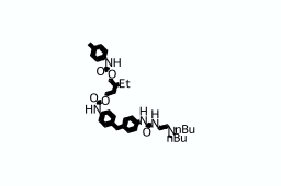 CCCCN(CCCC)CCNC(=O)Nc1ccc(Cc2ccc(NC(=O)OCCC(CC)COC(=O)Nc3ccc(C)cc3)cc2)cc1